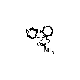 CC(C)(C)C1CCCCC1(OC(N)=O)ON1C=CN=CC1